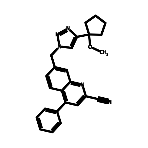 COC1(c2cn(Cc3ccc4c(-c5ccccc5)cc(C#N)nc4c3)nn2)CCCC1